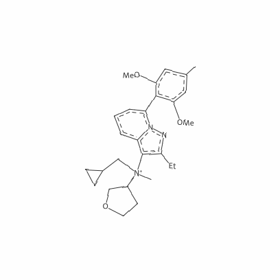 CCc1nn2c(-c3c(OC)cc(C)cc3OC)cccc2c1[N+](C)(CC1CC1)C1CCOC1